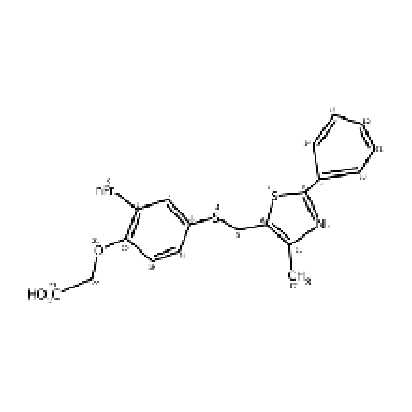 CCCc1cc(SCc2sc(-c3ccccc3)nc2C)ccc1OCC(=O)O